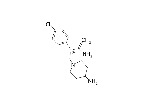 C=C(N)[C@H](CN1CCC(N)CC1)c1ccc(Cl)cc1